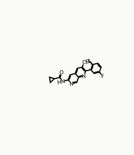 Cc1cc2cc(NC(=O)C3CC3)ncc2nc1-c1cc(F)ccc1Cl